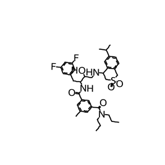 CCCN(CCC)C(=O)c1cc(C)cc(C(=O)NC(Cc2cc(F)cc(F)c2)C(O)CNC2CS(=O)(=O)Cc3ccc(C(C)C)cc32)c1